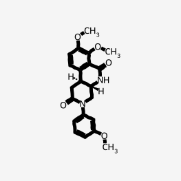 COc1cccc(N2C[C@H]3NC(=O)c4c(ccc(OC)c4OC)[C@@H]3CC2=O)c1